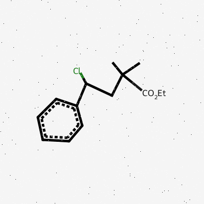 CCOC(=O)C(C)(C)CC(Cl)c1ccccc1